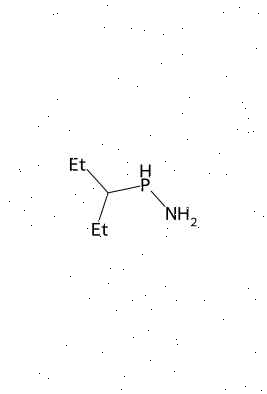 CCC(CC)PN